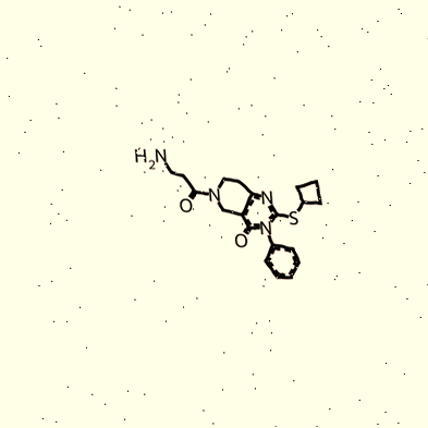 NCCC(=O)N1CCc2nc(SC3CCC3)n(-c3ccccc3)c(=O)c2C1